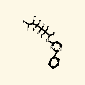 FC(F)C(F)C(F)(F)C(F)(F)C(F)(F)C(F)Oc1ccnc(-c2ccccc2)n1